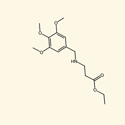 CCOC(=O)CCNCc1cc(OC)c(OC)c(OC)c1